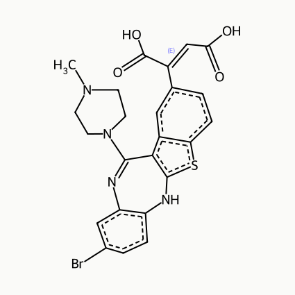 CN1CCN(C2=Nc3cc(Br)ccc3Nc3sc4ccc(/C(=C\C(=O)O)C(=O)O)cc4c32)CC1